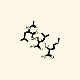 CC(=O)NC(CC(C)C)C(=O)O.CC(C)CC(N)C(=O)O.CSCCC(N)C(=O)O